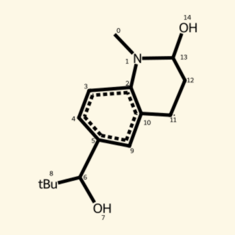 CN1c2ccc(C(O)C(C)(C)C)cc2[CH]CC1O